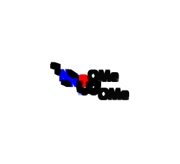 C=CCN1CCN(C(=O)/C=C\c2cc(OC)cc(OC)c2)CC1